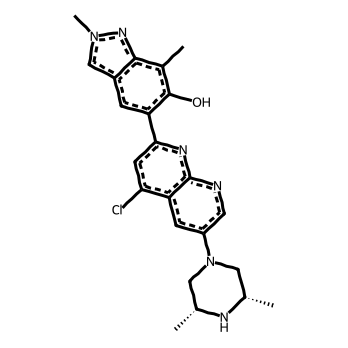 Cc1c(O)c(-c2cc(Cl)c3cc(N4C[C@@H](C)N[C@@H](C)C4)cnc3n2)cc2cn(C)nc12